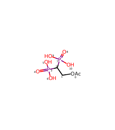 CC(=O)OCC(P(=O)(O)O)P(=O)(O)O